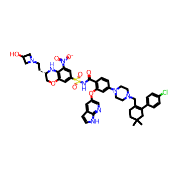 CC1(C)CCC(CN2CCN(c3ccc(C(=O)NS(=O)(=O)c4cc5c(c([N+](=O)[O-])c4)N[C@@H](CCN4CC(O)C4)CO5)c(Oc4cnc5[nH]ccc5c4)c3)CC2)=C(c2ccc(Cl)cc2)C1